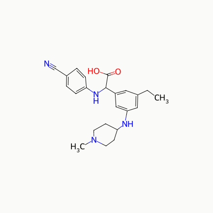 CCc1cc(NC2CCN(C)CC2)cc(C(Nc2ccc(C#N)cc2)C(=O)O)c1